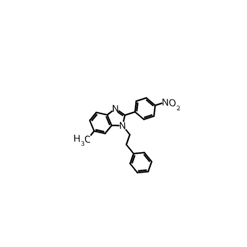 Cc1ccc2nc(-c3ccc([N+](=O)[O-])cc3)n(CCc3ccccc3)c2c1